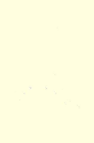 O=C(CCn1ccnc1)N1[C@@H]2CC[C@H]1CN(c1nc(OCC34CCCN3CCC4)nc3c(F)c(-c4cc(O)cc5ccccc45)ccc13)C2